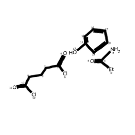 CCC(N)=O.O=C(Cl)CCCC(=O)Cl.Oc1ccccc1